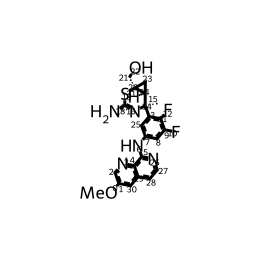 COc1cnc2c(Nc3cc(F)c(F)c([C@@]4(C)N=C(N)S[C@@]5(CO)C[C@H]54)c3)nccc2c1